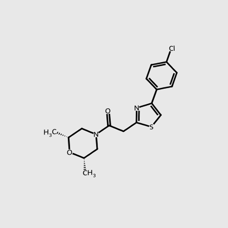 C[C@@H]1CN(C(=O)Cc2nc(-c3ccc(Cl)cc3)cs2)C[C@H](C)O1